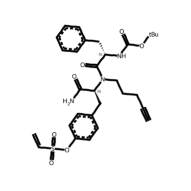 C#CCCCN(C(=O)[C@H](Cc1ccccc1)NC(=O)OC(C)(C)C)[C@@H](Cc1ccc(OS(=O)(=O)C=C)cc1)C(N)=O